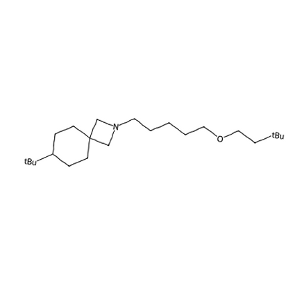 CC(C)(C)CCOCCCCCN1CC2(CCC(C(C)(C)C)CC2)C1